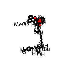 COCOc1cc(-c2c(F)cc3c(N4C[C@H]5CC[C@@](C)(C4)N5C(=O)OC(C)(C)C)nc(OC[C@]4(CN(C)CCCCCCC(=O)N[C@H](C(=O)N5C[C@H](O)C[C@H]5C(=O)NCc5ccc(-c6scnc6C)cc5)C(C)(C)C)CC4(F)F)nc3c2F)c2c(C#C[Si](C(C)C)(C(C)C)C(C)C)cccc2c1